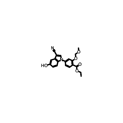 CCOC(=O)c1ccc(-n2cc(C#N)c3cc(O)ccc32)cc1OCOC